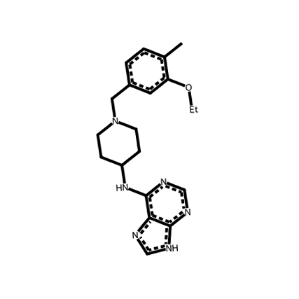 CCOc1cc(CN2CCC(Nc3ncnc4[nH]cnc34)CC2)ccc1C